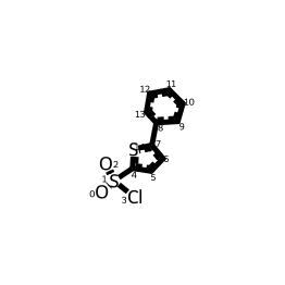 O=S(=O)(Cl)c1ccc(-c2ccccc2)s1